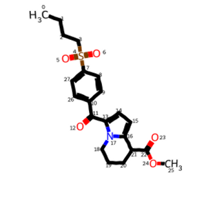 CCCCS(=O)(=O)c1ccc(C(=O)c2ccc3n2CCCC3C(=O)OC)cc1